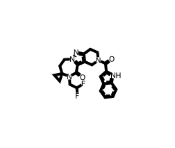 O=C(c1cc2ccccc2[nH]1)N1CCc2nn3c(c2C1)C(=O)N(CC(F)F)C1(CC3)CC1